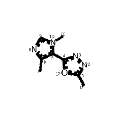 Cc1nnc(-c2c(C)ncn2C)o1